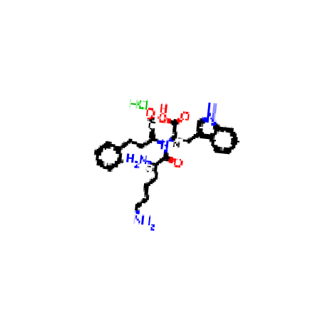 Cl.NCCCC[C@@H](N)C(=O)N(C(=C=O)CCc1ccccc1)[C@@H](Cc1c[nH]c2ccccc12)C(=O)O